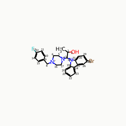 CC(O)C(N1CCN(Cc2ccc(F)cc2)CC1)n1c2ccccc2c2cc(Br)ccc21